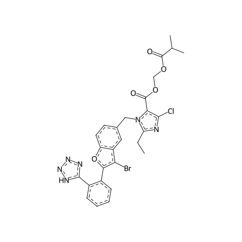 CCc1nc(Cl)c(C(=O)OCOC(=O)C(C)C)n1Cc1ccc2oc(-c3ccccc3-c3nnn[nH]3)c(Br)c2c1